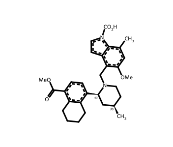 COC(=O)c1ccc([C@@H]2C[C@H](C)CCN2Cc2c(OC)cc(C)c3c2ccn3C(=O)O)c2c1CCCC2